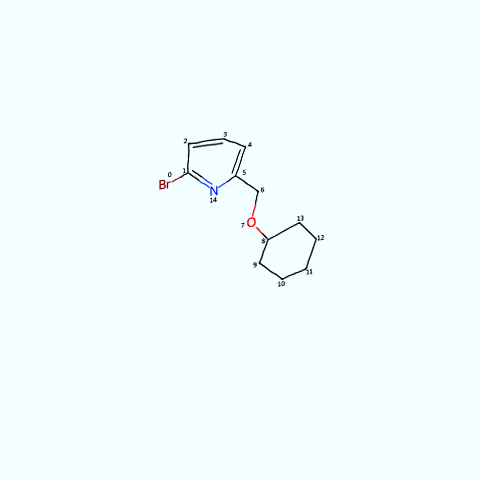 Brc1cccc(COC2CCCCC2)n1